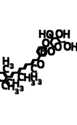 CC1=C(/C=C/C(C)=C/C=C/C(C)=C/C(=O)c2ccc(O[C@H]3C(O)O[C@H](CO)[C@@H](O)[C@@H]3O)cc2)C(C)(C)CCC1